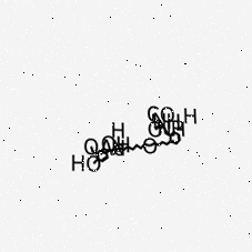 CC(=O)OCc1cc([C@@H](O)CNCCCCCCOCCCCc2ccccc2CNC(=O)NCC(=O)O)ccc1O